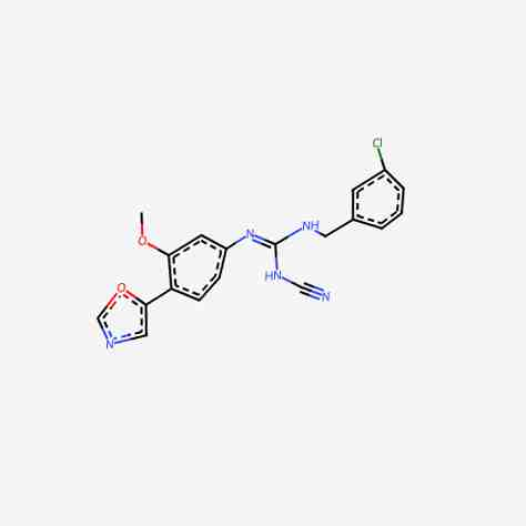 COc1cc(/N=C(\NC#N)NCc2cccc(Cl)c2)ccc1-c1cnco1